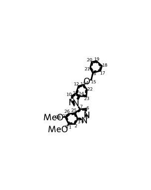 COc1cc2nncc(-n3ncc4cc(OCc5ccccc5)ccc43)c2cc1OC